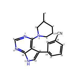 CC1CCCN(c2ncnc3[nH]cc(-c4cccc(C#N)c4)c23)C1